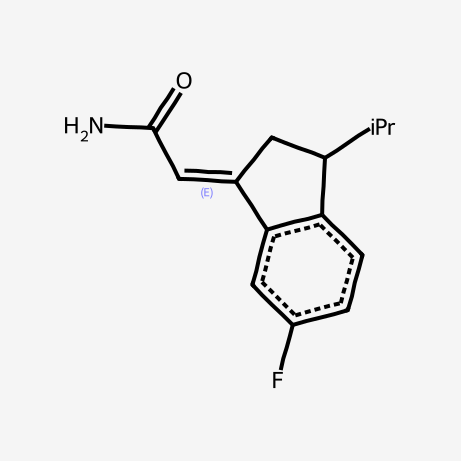 CC(C)C1C/C(=C\C(N)=O)c2cc(F)ccc21